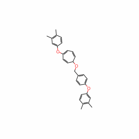 Cc1ccc(OC2=CC=CC(OCc3ccc(Oc4ccc(C)c(C)c4)cc3)C=C2)cc1C